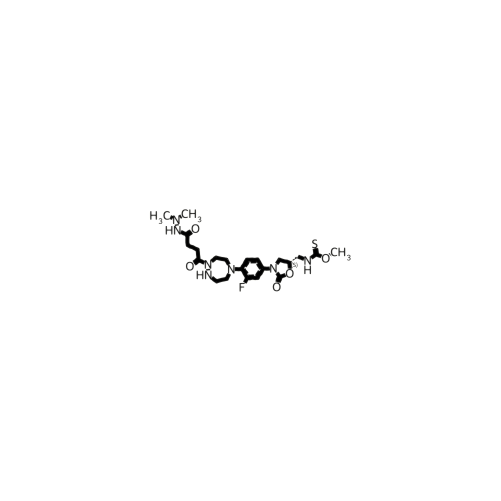 COC(=S)NC[C@H]1CN(c2ccc(N3CCNN(C(=O)CCC(=O)NN(C)C)CC3)c(F)c2)C(=O)O1